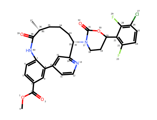 COC(=O)c1ccc2c(c1)-c1ccnc(c1)[C@@H](N1CCC(c3c(F)ccc(Cl)c3F)OC1=O)CCC[C@@H](C)C(=O)N2